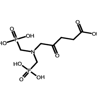 O=C(O)CCC(=O)CN(CP(=O)(O)O)CP(=O)(O)O